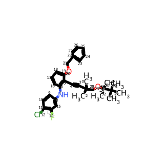 CC(C)(C#Cc1c(Nc2ccc(Cl)c(F)c2)cccc1OCc1ccccc1)CO[Si](C)(C)C(C)(C)C